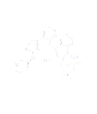 Cc1c(F)c(NS(=O)(=O)CC(F)(F)F)c2ccccc2c1Oc1ncccc1-c1ccnc(N[C@@H]2CNC[C@@H](F)C2)n1